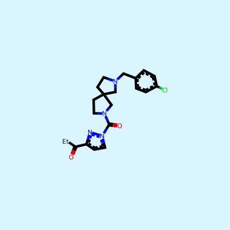 CCC(=O)c1ccn(C(=O)N2CCC3(CCN(Cc4ccc(Cl)cc4)C3)C2)n1